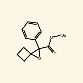 CC(C)(C)OC(=O)C1(c2ccccc2)OC12CCC2